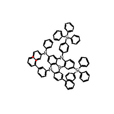 c1ccc(-c2cccc(N3c4ccc(-c5ccccc5)cc4B4c5cc([Si](c6ccccc6)(c6ccccc6)c6ccccc6)ccc5N(c5ccc([Si](c6ccccc6)(c6ccccc6)c6ccccc6)cc5)c5cc(N(c6ccccc6)c6ccccc6)cc3c54)c2)cc1